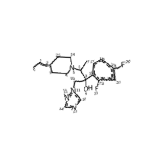 CC=C1CCN(C(C)C(O)(Cn2cncn2)c2ccc(F)cc2F)CC1